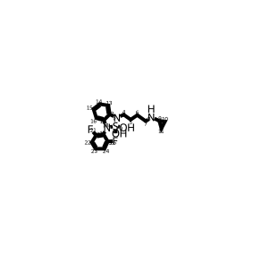 OS1(O)N(CCCCNC2CC2)c2ccccc2N1c1c(F)cccc1F